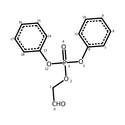 O=CCOP(=O)(Oc1ccccc1)Oc1ccccc1